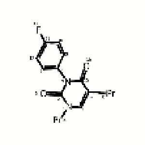 CC(C)c1cn(C(C)C)c(=O)n(-c2ccc(F)cc2)c1=O